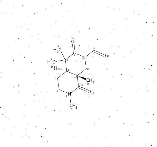 CN1CC[C@H]2C(C)(C)C(=O)C(C=O)C[C@]2(C)C1=O